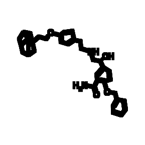 NC(=O)c1cc([C@@H](O)CNCCc2ccc(OCCC34CC5CC(CC(C5)C3)C4)cc2)ccc1OCc1ccccc1